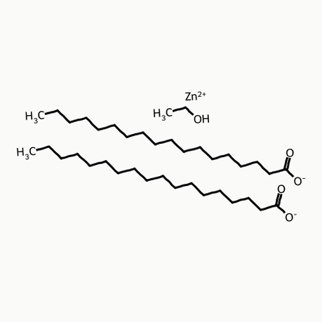 CCCCCCCCCCCCCCCCCC(=O)[O-].CCCCCCCCCCCCCCCCCC(=O)[O-].CCO.[Zn+2]